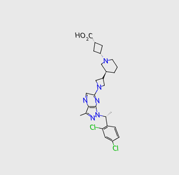 Cc1nn([C@H](C)c2ccc(Cl)cc2Cl)c2nc(N3CC([C@@H]4CCCN([C@H]5C[C@@H](C(=O)O)C5)C4)C3)cnc12